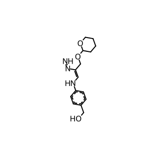 N=N/C(=C\Nc1ccc(CO)cc1)COC1CCCCO1